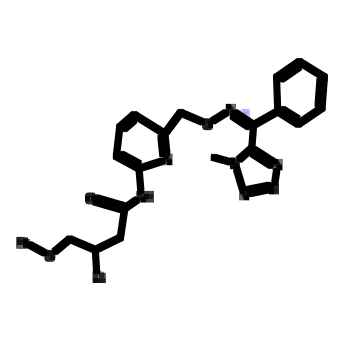 CCOCC(CC)CC(=O)Nc1cccc(CO/N=C(/c2ccccc2)c2nnnn2C)n1